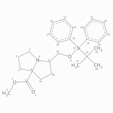 COC(=O)C12CCCN1C(CO[Si](c1ccccc1)(c1ccccc1)C(C)(C)C)CC2